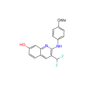 COc1ccc(Nc2nc3cc(O)ccc3cc2C(F)F)cc1